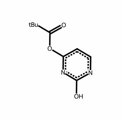 CC(C)(C)C(=O)Oc1ccnc(O)n1